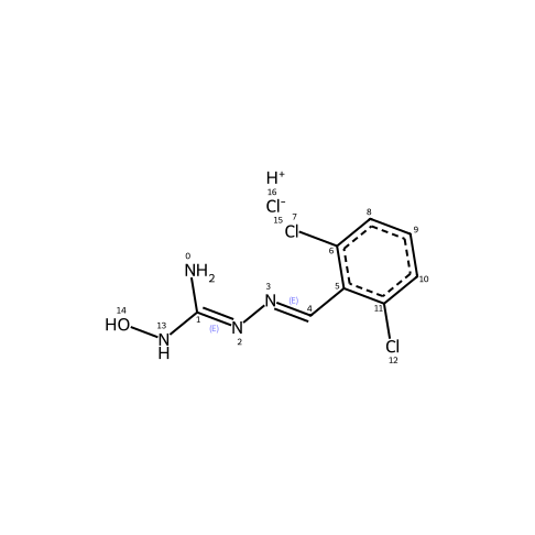 N/C(=N\N=C\c1c(Cl)cccc1Cl)NO.[Cl-].[H+]